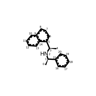 C[C@@H](N[C@H](C)c1cccc2ccccc12)c1ccccc1